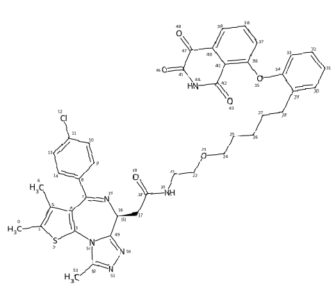 Cc1sc2c(c1C)C(c1ccc(Cl)cc1)=N[C@@H](CC(=O)NCCOCCCCCc1ccccc1Oc1cccc3c1C(=O)NC(=O)C3=O)c1nnc(C)n1-2